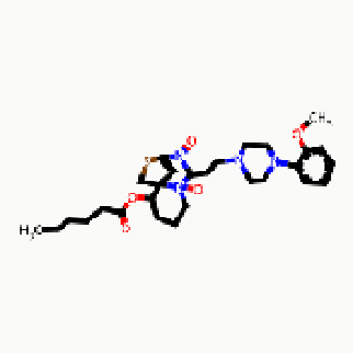 CCCCCC(=O)OC1CCC[N+]2([O-])C(CCN3CCN(c4ccccc4OC)CC3)[N+](=O)C3=CC12CS3